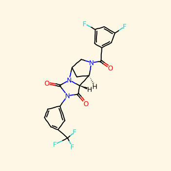 O=C1[C@H]2[C@H]3CC(CN3C(=O)c3cc(F)cc(F)c3)N2C(=O)N1c1cccc(C(F)(F)F)c1